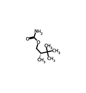 C[C@H](COC(N)=O)C(C)(C)C